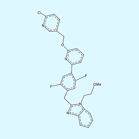 COCCn1c(Cc2cc(F)c(-c3cccc(OCc4ccc(Cl)nc4)n3)cc2F)nc2ccccc21